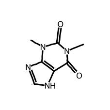 Cn1c(=O)c2[nH][c]nc2n(C)c1=O